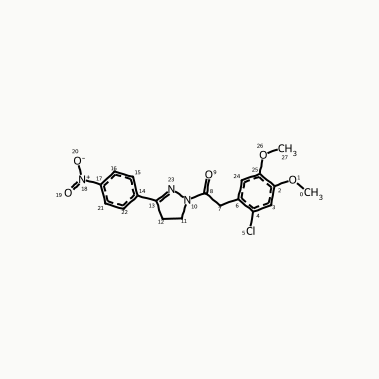 COc1cc(Cl)c(CC(=O)N2CCC(c3ccc([N+](=O)[O-])cc3)=N2)cc1OC